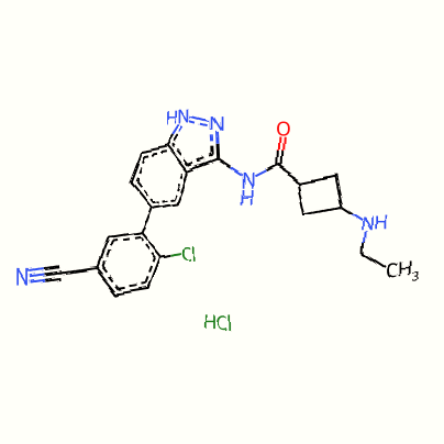 CCNC1CC(C(=O)Nc2n[nH]c3ccc(-c4cc(C#N)ccc4Cl)cc23)C1.Cl